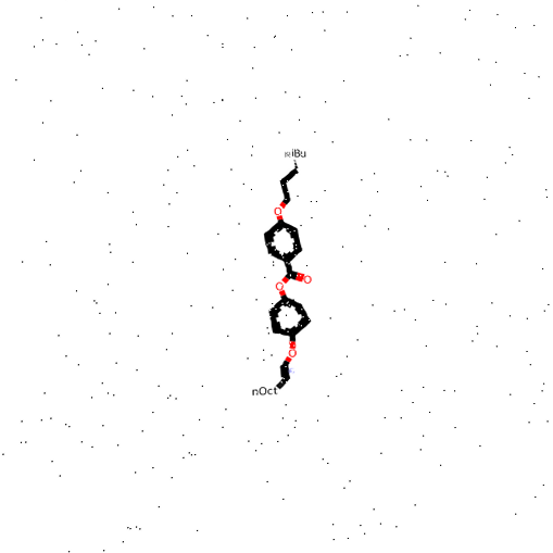 CCCCCCCC/C=C/Oc1ccc(OC(=O)c2ccc(OCCC[C@@H](C)CC)cc2)cc1